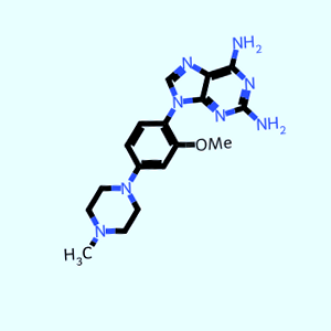 COc1cc(N2CCN(C)CC2)ccc1-n1cnc2c(N)nc(N)nc21